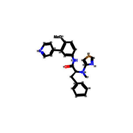 COc1ccc(NC(=O)[C@H](Cc2ccccc2)N(C)c2cscn2)cc1-c1ccncc1